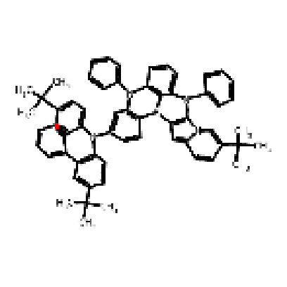 CC(C)(C)c1ccc(N(c2ccc3c(c2)N(c2ccccc2)c2cccc4c2B3c2cc3ccc(C(C)(C)C)cn3c2N4c2ccccc2)c2ccc(C(C)(C)C)cc2-c2ccccc2)cc1